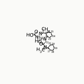 CC1=NC(NC(=O)O)C(=O)N(CC(=O)N(C)c2ccccc2)c2ccccc21